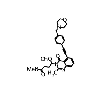 CNC(=O)CCC(C=O)n1c(C)nc2cccc(C#Cc3ccc(CN4CCOCC4)cc3)c2c1=O